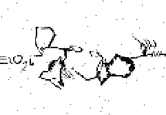 CCOC(=O)CN1CCCCC1C(=O)N1CCCC[C@H]1CCc1cc2ccc(C(=N)N)cc2n1CC